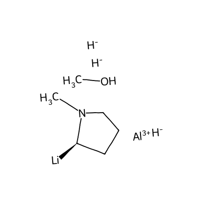 CO.[Al+3].[H-].[H-].[H-].[Li][C@@H]1CCCN1C